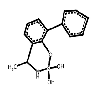 CC1NS(O)(O)Oc2c(-c3cc[c]cc3)cccc21